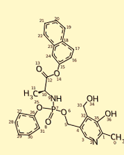 Cc1ncc(COP(=O)(N[C@@H](C)C(=O)Oc2ccc3ccccc3c2)Oc2ccccc2)c(CO)c1O